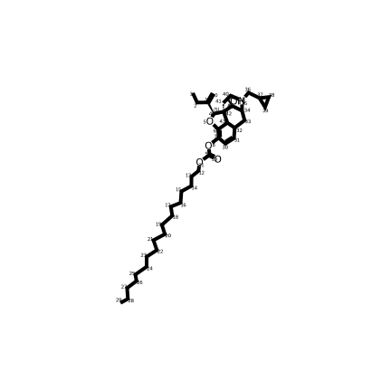 C=C(CC)[C@@H]1OC2=C(OC(=O)OCCCCCCCCCCCCCCCCCC)C=CC3CC4N(CC5CC5)CC[C@@]1(C23)[C@]4(C)O